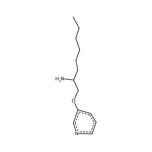 CCCCCCC(N)COc1cccnc1